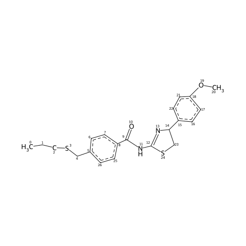 CCCSCc1ccc(C(=O)NC2=NC(c3ccc(OC)cc3)CS2)cc1